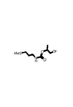 CSCCCNC(=O)OC(C)CO